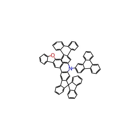 c1ccc2c(c1)-c1ccccc1C21c2ccccc2-c2cc(-c3ccc4oc5ccccc5c4c3)c(N(c3ccc4c5ccccc5c5ccccc5c4c3)c3ccc4c5ccccc5c5ccccc5c4c3)cc21